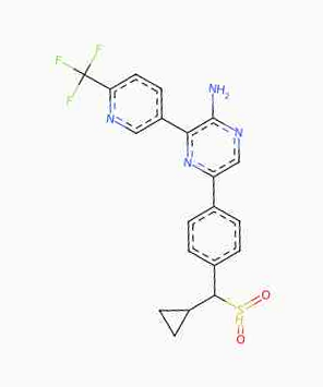 Nc1ncc(-c2ccc(C(C3CC3)[SH](=O)=O)cc2)nc1-c1ccc(C(F)(F)F)nc1